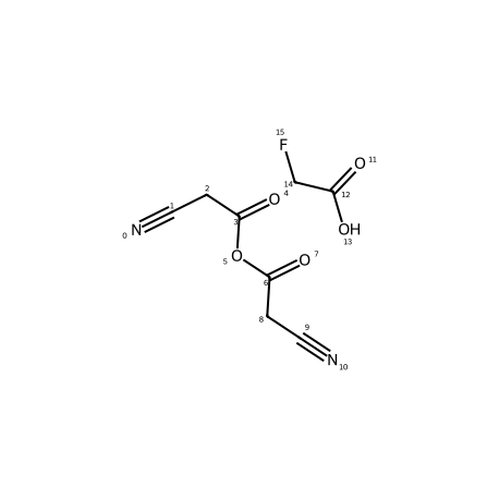 N#CCC(=O)OC(=O)CC#N.O=C(O)CF